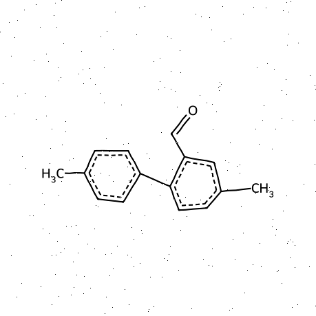 Cc1ccc(-c2ccc(C)cc2C=O)cc1